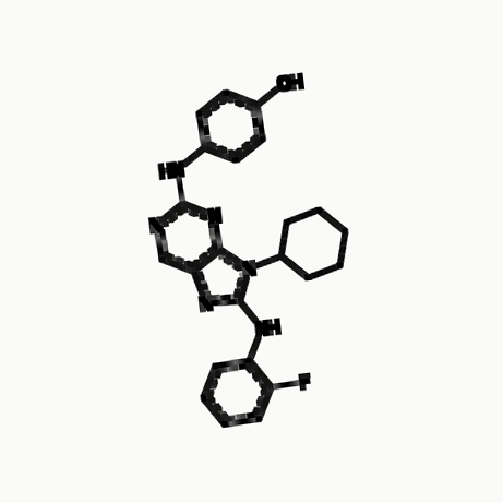 Oc1ccc(Nc2ncc3nc(Nc4ccccc4F)n(C4CCCCC4)c3n2)cc1